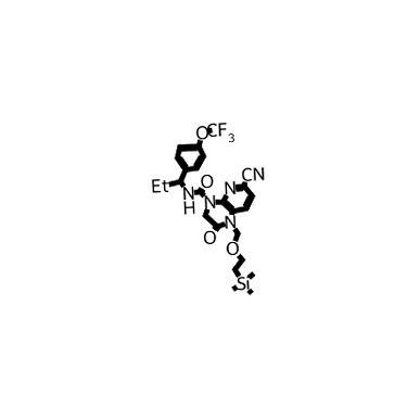 CCC(NC(=O)N1CC(=O)N(COCC[Si](C)(C)C)c2ccc(C#N)nc21)c1ccc(OC(F)(F)F)cc1